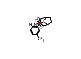 NS(=O)(=O)N1C2CCC1CC(F)(c1cccc(C(F)(F)F)c1)C2